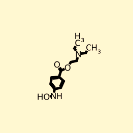 CCN(CC)CCOC(=O)c1ccc(NO)cc1